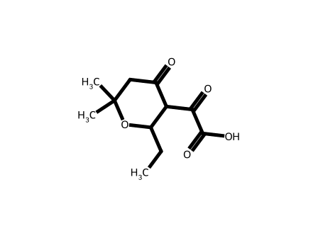 CCC1OC(C)(C)CC(=O)C1C(=O)C(=O)O